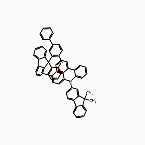 CC1(C)c2ccccc2-c2ccc(N(c3ccc(-c4cccc5c4C4(c6ccccc6Sc6ccc(-c7ccccc7)cc64)c4ccccc4-5)cc3)c3ccccc3-c3ccccc3)cc21